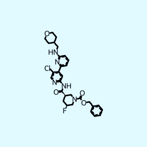 O=C(Nc1cc(-c2cccc(NCC3CCOCC3)n2)c(Cl)cn1)[C@@H]1C[C@H](F)CN(C(=O)OCc2ccccc2)C1